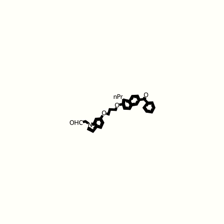 CCCc1c(OCCCOc2ccc3ccn(CC=O)c3c2)ccc2cc(C(=O)c3ccccc3)ccc12